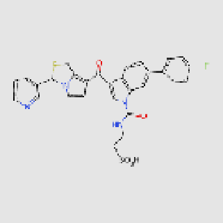 O=C(c1ccn2c1CSC2c1cccnc1)c1cn(C(=O)NCCS(=O)(=O)O)c2cc(-c3ccc(F)cc3)ccc12